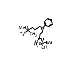 CO[Si](C)(C)CCCN(CCC(=O)O[Si](C)(C)C(C)(C)C)c1ccccc1